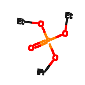 CCOP(=O)(OCC)OC(C)C